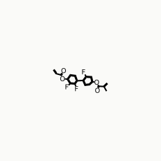 C=CC(=O)Oc1ccc(-c2ccc(OC(=O)C(=C)C)cc2F)c(F)c1F